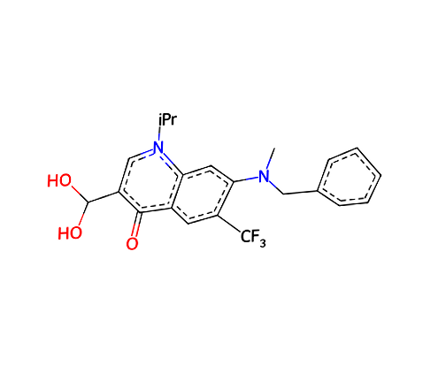 CC(C)n1cc(C(O)O)c(=O)c2cc(C(F)(F)F)c(N(C)Cc3ccccc3)cc21